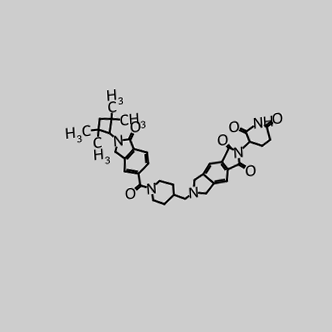 CC1(C)CC(C)(C)C1N1Cc2cc(C(=O)N3CCC(CN4Cc5cc6c(cc5C4)C(=O)N(C4CCC(=O)NC4=O)C6=O)CC3)ccc2C1=O